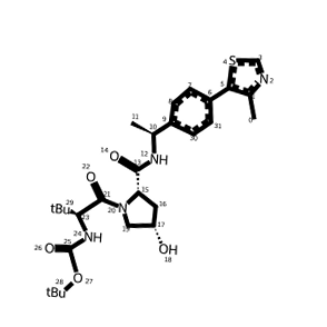 Cc1ncsc1-c1ccc([C@H](C)NC(=O)[C@@H]2C[C@H](O)CN2C(=O)[C@@H](NC(=O)OC(C)(C)C)C(C)(C)C)cc1